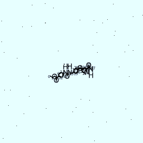 CCOC(=O)c1ccc(NC(=O)NCc2ccc(Oc3ccnc(C(=O)NC)c3)cc2)cc1